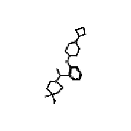 [CH2]C(c1ccccc1OC1CCN(C2CCC2)CC1)N1CCC(F)(F)CC1